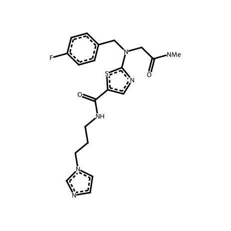 CNC(=O)CN(Cc1ccc(F)cc1)c1ncc(C(=O)NCCCn2ccnc2)s1